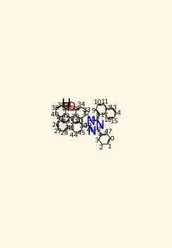 C1=CCCC(c2nc(C3=CC=CC4C=CC=CC34)nc(C3C=C(C4(c5ccccc5)C5CCCC=C5O[C@@H]5C=CCCC54)CCC3)n2)=C1